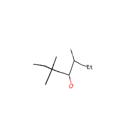 CCC(C)C([O])C(C)(C)C